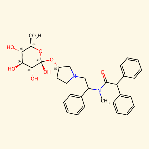 CN(C(=O)C(c1ccccc1)c1ccccc1)C(CN1CC[C@H](O[C@@]2(O)O[C@H](C(=O)O)[C@@H](O)[C@H](O)[C@H]2O)C1)c1ccccc1